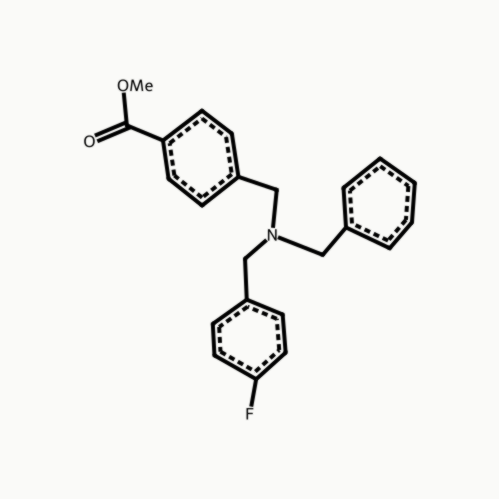 COC(=O)c1ccc(CN(Cc2ccccc2)Cc2ccc(F)cc2)cc1